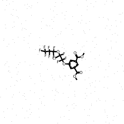 COC(=O)c1cc(OC(F)(F)C(F)(Cl)OC(F)(F)C(F)(F)C(F)(F)F)cc(C(=O)OC)c1